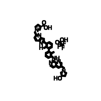 Cc1c(Nc2nccc3cc(CN4CC[C@@H](O)C4)cnc23)cccc1-c1cccc(-c2cc3nc(CN4CC[C@@H](C(=O)O)C4)ccc3[nH]2)c1C.O=C(O)C(F)(F)F